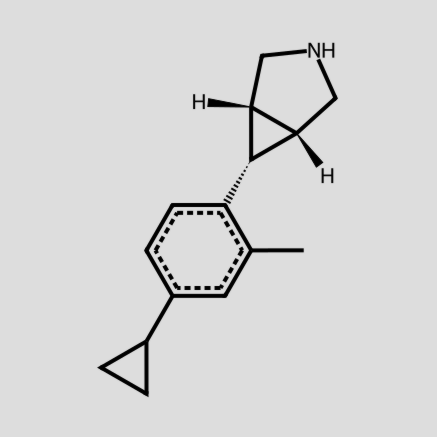 Cc1cc(C2CC2)ccc1[C@@H]1[C@@H]2CNC[C@@H]21